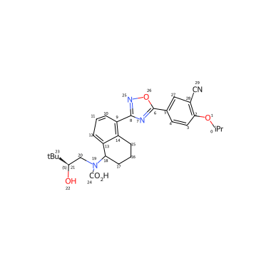 CC(C)Oc1ccc(-c2nc(-c3cccc4c3CCCC4N(C[C@@H](O)C(C)(C)C)C(=O)O)no2)cc1C#N